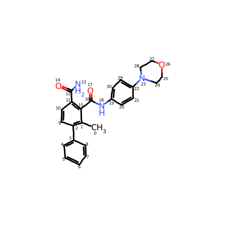 Cc1c(-c2ccccc2)ccc(C(N)=O)c1C(=O)Nc1ccc(N2CCOCC2)cc1